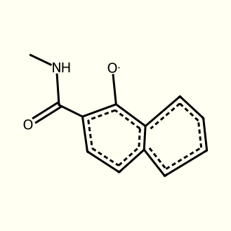 CNC(=O)c1ccc2ccccc2c1[O]